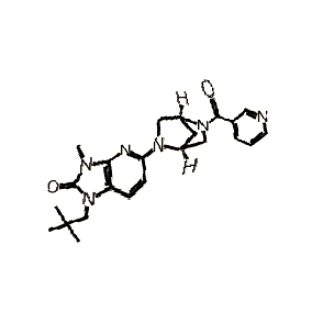 Cn1c(=O)n(CC(C)(C)C)c2ccc(N3C[C@H]4C[C@@H]3CN4C(=O)c3cccnc3)nc21